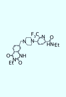 CCNC(=O)c1ccc(N2CCN(Cc3ccc4c(=O)n(CC)c(=O)[nH]c4c3)CC2)c(C(F)(F)F)n1